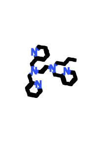 CCCCN(C=CN(Cc1ccccn1)Cc1ccccn1)Cc1ccccn1